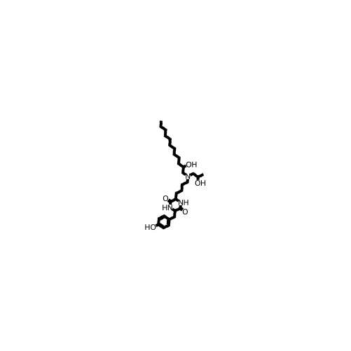 CCCCCCCCCCC(O)CN(CCCCC1NC(=O)C(Cc2ccc(O)cc2)NC1=O)CC(C)O